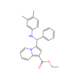 CCOC(=O)c1cc(C(Nc2ccc(C)c(C)c2)c2ccccc2)n2ccccc12